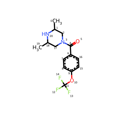 CC1CN(C(=O)c2ccc(OC(F)(F)F)cc2)CC(C)N1